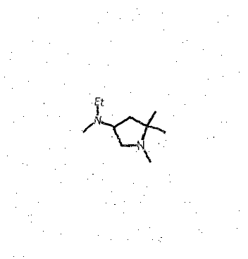 CCN(C)C1CN(C)C(C)(C)C1